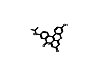 CC(C)Nc1ccc(-c2c3ccc(=O)cc-3oc3cc(O)ccc23)c(C(=O)O)c1